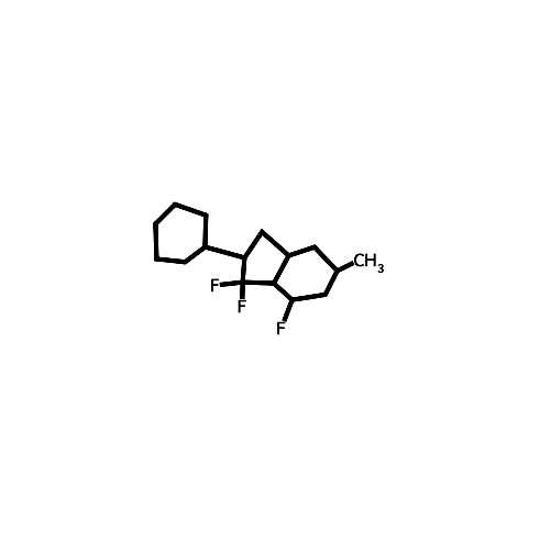 CC1CC(F)C2C(C1)CC(C1CCCCC1)C2(F)F